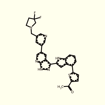 CC(=O)c1ccc(-c2cccc3[nH]c(-c4n[nH]c5ncc(-c6cncc(CN7CCC(F)(F)C7)c6)cc45)cc23)s1